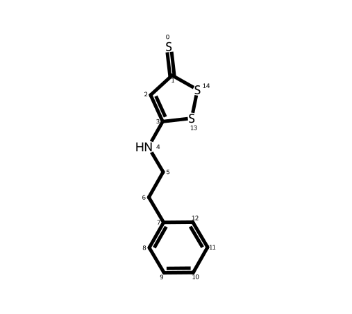 S=c1cc(NCCc2ccccc2)ss1